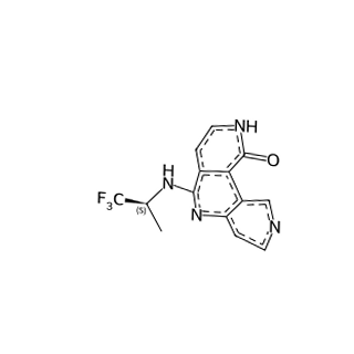 C[C@H](Nc1nc2ccncc2c2c(=O)[nH]ccc12)C(F)(F)F